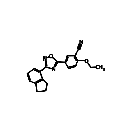 CCOc1ccc(-c2nc(-c3cccc4c3CCC4)no2)cc1C#N